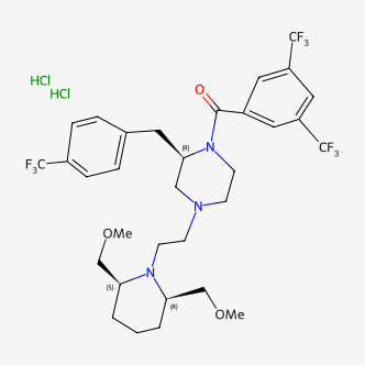 COC[C@H]1CCC[C@@H](COC)N1CCN1CCN(C(=O)c2cc(C(F)(F)F)cc(C(F)(F)F)c2)[C@H](Cc2ccc(C(F)(F)F)cc2)C1.Cl.Cl